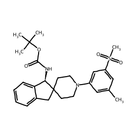 Cc1cc(N2CCC3(CC2)Cc2ccccc2[C@H]3NC(=O)OC(C)(C)C)cc(S(C)(=O)=O)c1